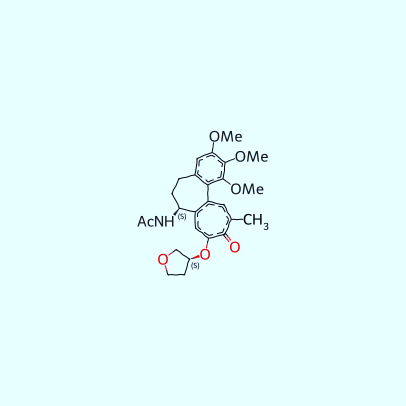 COc1cc2c(c(OC)c1OC)-c1cc(C)c(=O)c(O[C@H]3CCOC3)cc1[C@@H](NC(C)=O)CC2